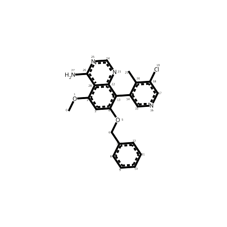 COc1cc(OCc2ccccc2)c(-c2cncc(Cl)c2C)c2ncnc(N)c12